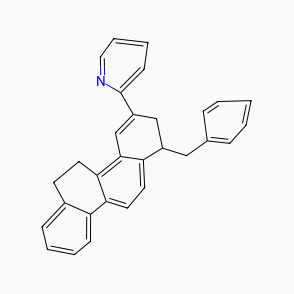 C1=C(c2ccccn2)CC(Cc2ccccc2)c2ccc3c(c21)CCc1ccccc1-3